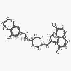 O=c1ccc2ncc(=O)n3c2n1CC3CN1CCC(NCc2cc(F)c3c(c2)OCCO3)CC1